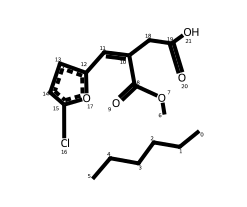 CCCCCC.COC(=O)C(=Cc1ccc(Cl)o1)CC(=O)O